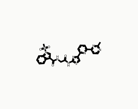 Cc1nccc(-c2cccc(-c3csc(NC(=O)CNC(=O)c4cn(S(C)(=O)=O)c5ccccc45)n3)n2)n1